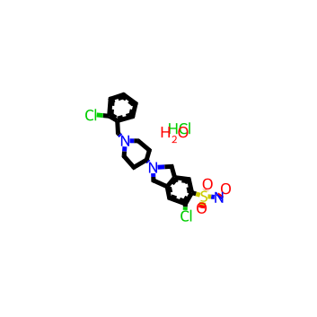 Cl.O.O=NS(=O)(=O)c1cc2c(cc1Cl)CN(C1CCN(Cc3ccccc3Cl)CC1)C2